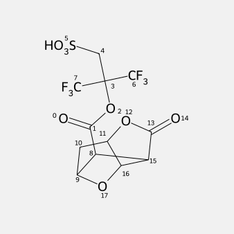 O=C(OC(CS(=O)(=O)O)(C(F)(F)F)C(F)(F)F)C1C2CC3OC(=O)C1C3O2